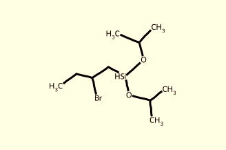 CCC(Br)C[SiH](OC(C)C)OC(C)C